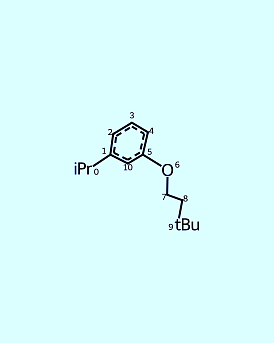 CC(C)c1cccc(OCCC(C)(C)C)c1